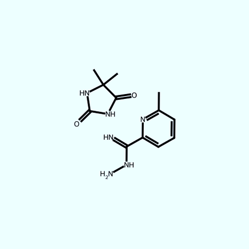 CC1(C)NC(=O)NC1=O.Cc1cccc(C(=N)NN)n1